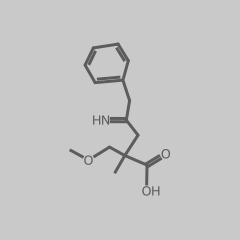 COCC(C)(CC(=N)Cc1ccccc1)C(=O)O